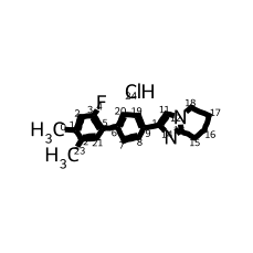 Cc1cc(F)c(-c2ccc(-c3cn4c(n3)CCCC4)cc2)cc1C.Cl